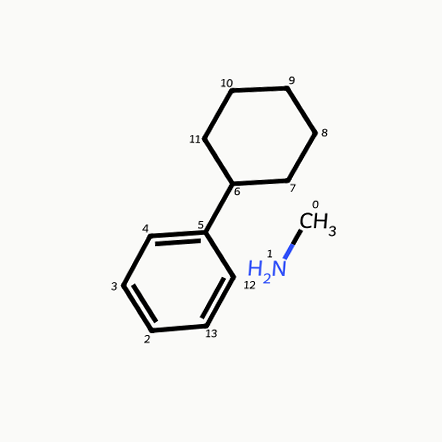 CN.c1ccc(C2CCCCC2)cc1